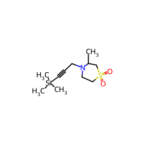 CC1CS(=O)(=O)CCN1CC#C[Si](C)(C)C